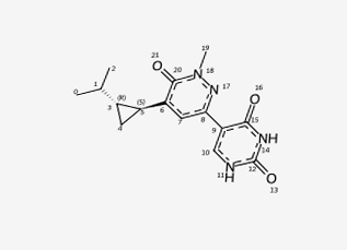 CC(C)[C@H]1C[C@@H]1c1cc(-c2c[nH]c(=O)[nH]c2=O)nn(C)c1=O